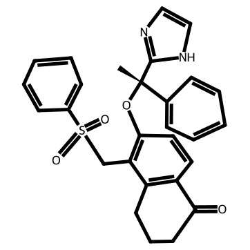 C[C@](Oc1ccc2c(c1CS(=O)(=O)c1ccccc1)CCCC2=O)(c1ccccc1)c1ncc[nH]1